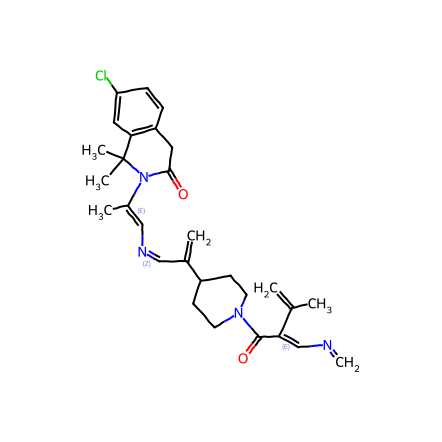 C=N/C=C(\C(=C)C)C(=O)N1CCC(C(=C)/C=N\C=C(/C)N2C(=O)Cc3ccc(Cl)cc3C2(C)C)CC1